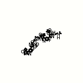 CC(C)NCCOc1ncc(-c2cc3c4c(cnc3cc2F)N(CCC(C)NCCOc2ncc(-c3cc5c6c(cnc5cc3F)N(C)C(=O)C63CCC3)cc2NS(C)(=O)=O)C(=O)C42CCC2)cc1NS(=O)(=O)C(C)C